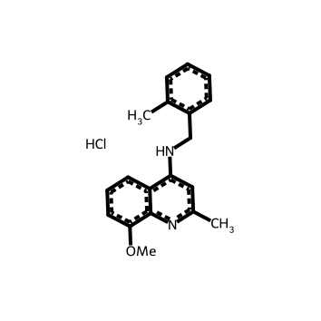 COc1cccc2c(NCc3ccccc3C)cc(C)nc12.Cl